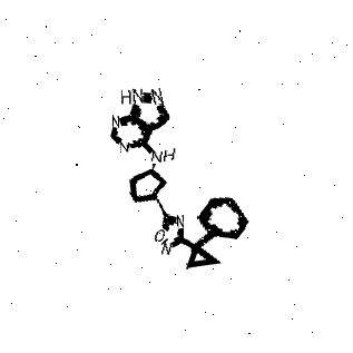 c1ccc(C2(c3noc([C@H]4CC[C@H](Nc5ncnc6[nH]ncc56)C4)n3)CC2)cc1